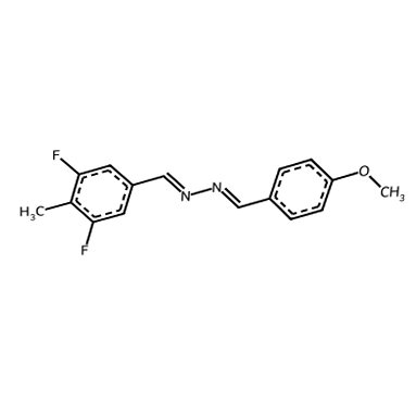 COc1ccc(/C=N/N=C/c2cc(F)c(C)c(F)c2)cc1